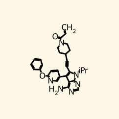 C=CC(=O)N1CCC(C#Cc2c(-c3ccc(Oc4ccccc4)nc3)c3c(N)ncnc3n2C(C)C)CC1